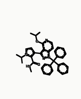 CNC(=O)c1c(-c2nn(C(c3ccccc3)(c3ccccc3)c3ccccc3)c3ccnc(OC(C)C)c23)ccn1C(C)C